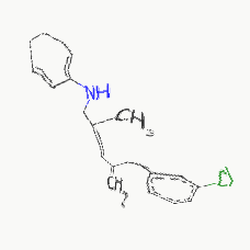 C=C(/C=C(\C)CNC1=CCCC=C1)Cc1cccc(Cl)c1